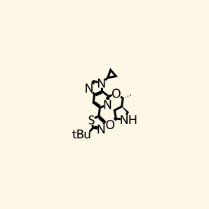 C[C@@H](Oc1nc(-c2cnc(C(C)(C)C)s2)cc2ncn(C3CC3)c12)[C@H]1CNC(=O)C1